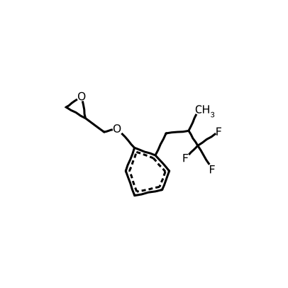 CC(Cc1ccccc1OCC1CO1)C(F)(F)F